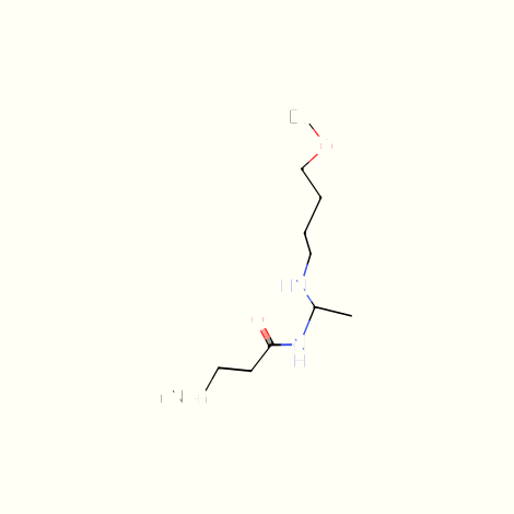 CCCCCCCCCCCC(=O)NC(C)NCCCCOCC